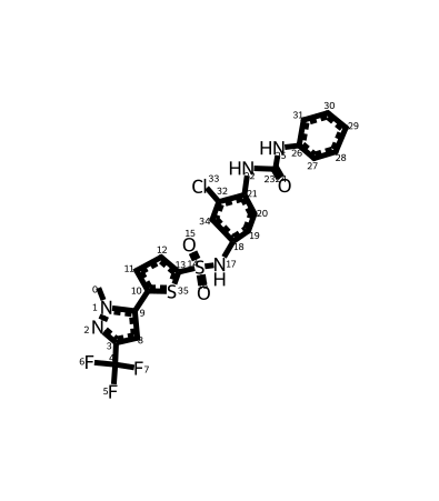 Cn1nc(C(F)(F)F)cc1-c1ccc(S(=O)(=O)Nc2ccc(NC(=O)Nc3ccccc3)c(Cl)c2)s1